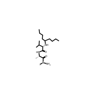 CCCCC(CCCC)N[C@H](C(=O)N[C@@H](C)C(=O)N(N)I)C(C)C